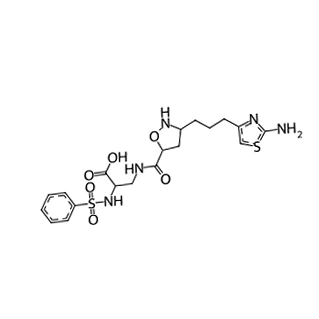 Nc1nc(CCCC2CC(C(=O)NCC(NS(=O)(=O)c3ccccc3)C(=O)O)ON2)cs1